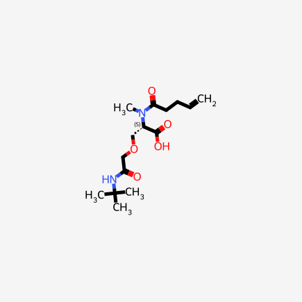 C=CCCC(=O)N(C)[C@@H](COCC(=O)NC(C)(C)C)C(=O)O